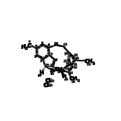 CC1=Cc2c3cc(C)cc2[C@@H]1[Zr+2][C@H]1C(C)=Cc2c(cc(C)cc21)CC3.[Cl-].[Cl-]